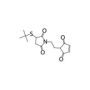 CC(C)(C)SC1CC(=O)N(CCC2C(=O)C=CC2=O)C1=O